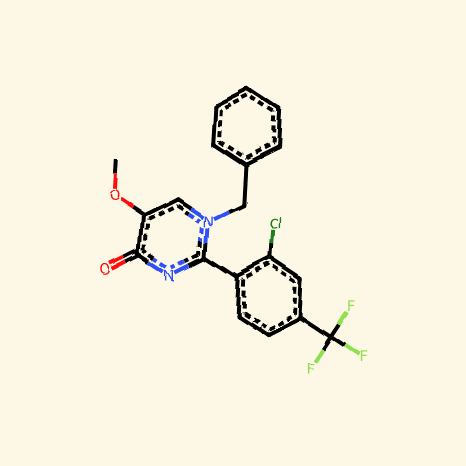 COc1cn(Cc2ccccc2)c(-c2ccc(C(F)(F)F)cc2Cl)nc1=O